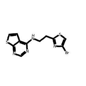 Brc1csc(CCNc2ncnc3sccc23)n1